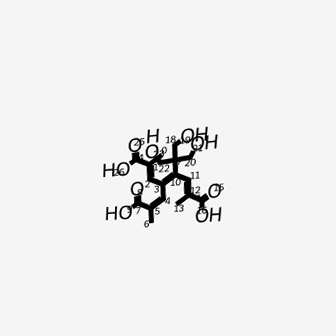 CC(=CC(C=C(C)C(=O)O)=C(C=C(C)C(=O)O)C(CO)(CO)CO)C(=O)O